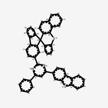 c1ccc(-c2cc(-c3ccc4c(c3)sc3ccccc34)nc(-c3ccc4c(c3)C3(c5ccccc5Sc5c3ccc3ccccc53)c3ccccc3-4)n2)cc1